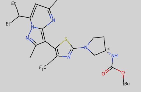 CCC(CC)c1cc(C)nc2c(-c3sc(N4CC[C@H](NC(=O)OC(C)(C)C)C4)nc3C(F)(F)F)c(C)nn12